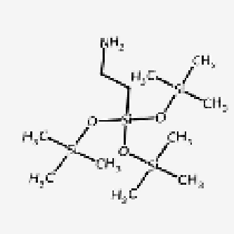 C[Si](C)(C)O[Si](CCN)(O[Si](C)(C)C)O[Si](C)(C)C